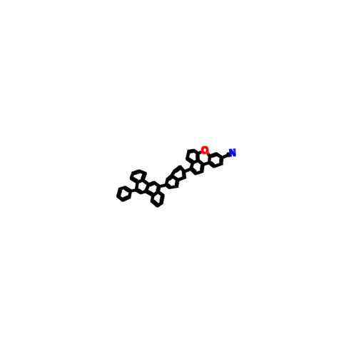 N#Cc1ccc2c(c1)Oc1cccc3c(-c4ccc5cc(-c6cc7c8ccccc8c(-c8ccccc8)cc7c7ccccc67)ccc5c4)ccc-2c13